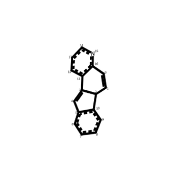 C1=CC2C(=Cc3ccccc32)c2cccnc21